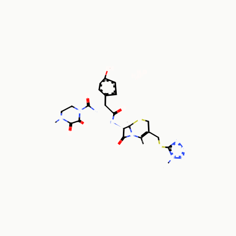 CCN1CCN(C(=O)N[C@@H](C(=O)N[C@@H]2C(=O)N3C(C(=O)O)=C(CSc4nnnn4C)CS[C@H]23)c2ccc(O)cc2)C(=O)C1=O.O.O